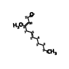 CCCCCC=CCC(C)=CC[O]